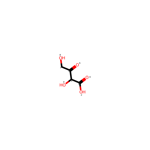 O=C(O)C(O)C(=O)CO